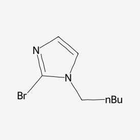 CCCCCn1ccnc1Br